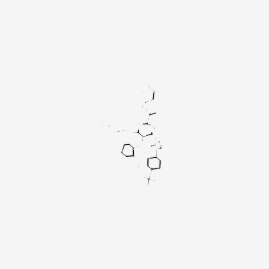 C=C(/N=C\C=C/N)c1nc(NS(=O)(=O)c2ccc(C(C)(C)C)cc2)c(Oc2ccccc2OC)c(OCCO)n1